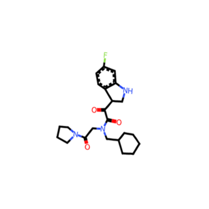 O=C(C(=O)N(CC(=O)N1CCCC1)CC1CCCCC1)C1CNc2cc(F)ccc21